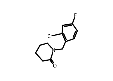 O=C1CCCCN1Cc1ccc(F)cc1Cl